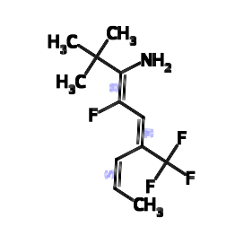 C\C=C/C(=C\C(F)=C(/N)C(C)(C)C)C(F)(F)F